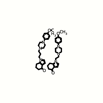 COc1ccc(N2CCN(CCCn3ccc4c3CCCC4=O)CC2)cc1.COc1ccc(N2CCN(CCn3ccc4c3CCCC4=O)CC2)cc1